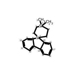 C[Si]1(C)CC[Si]2(CC1)c1ccccc1-c1ccccc12